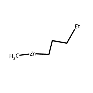 CCCC[CH2][Zn][CH3]